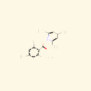 CCc1cc(CC)c(C(=O)ON2C(C)=CC(C)C=C2C)c(C(=O)O)c1